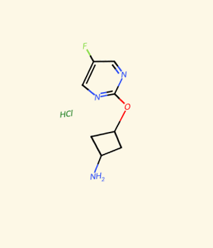 Cl.NC1CC(Oc2ncc(F)cn2)C1